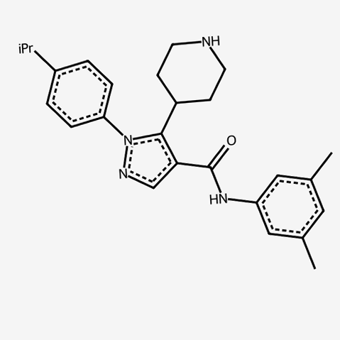 Cc1cc(C)cc(NC(=O)c2cnn(-c3ccc(C(C)C)cc3)c2C2CCNCC2)c1